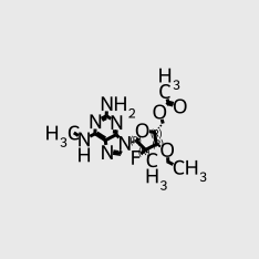 CCO[C@@H]1[C@@H](COC(C)=O)O[C@@H](n2cnc3c(NC)nc(N)nc32)[C@]1(C)F